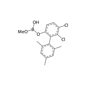 COB(O)Oc1ccc(Cl)c(Cl)c1-c1c(C)cc(C)cc1C